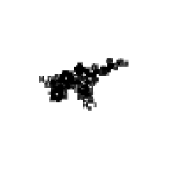 CCC(C)(C)S(=O)(=O)CC1(NC(=O)N[C@H](C(=O)N2C[C@H]3[C@@H]([C@H]2C(=O)NC(CC2CCC2)C(=O)C(=O)NCCC(=O)OC(C)(C)C)C3(C)C)C2(C)CCCCC2)CCCCC1